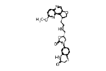 COc1ccc2ncc3c(c2n1)[C@H](CCNC[C@@H]1CN(c2ccc4c(c2)NC(=O)CS4)C(=O)O1)CO3